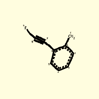 [CH2]c1ccccc1C#CF